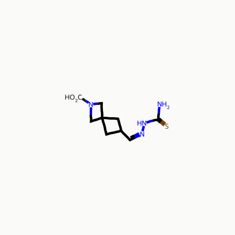 NC(=S)N/N=C\C1CC2(C1)CN(C(=O)O)C2